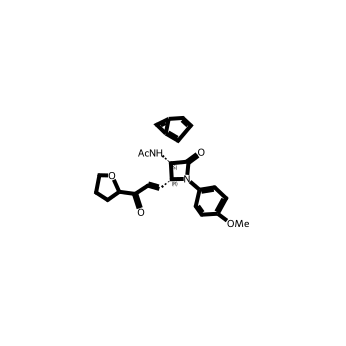 COc1ccc(N2C(=O)[C@@H](NC(C)=O)[C@H]2C=CC(=O)C2CCCO2)cc1.c1cc2cc-2c1